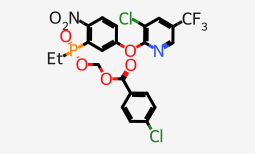 CCP(=O)(OCOC(=O)c1ccc(Cl)cc1)c1cc(Oc2ncc(C(F)(F)F)cc2Cl)ccc1[N+](=O)[O-]